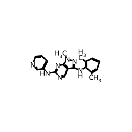 Cc1cccc(C)c1Nc1nn(C)c2nc(Nc3cccnc3)ncc12